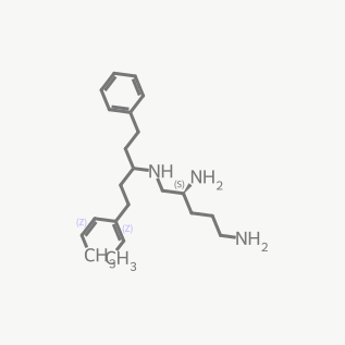 C/C=C\C(=C/C)CCC(CCc1ccccc1)NC[C@@H](N)CCCN